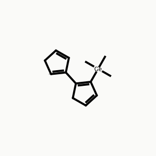 [CH3][Ge]([CH3])([CH3])[C]1=C(C2=[C]CC=C2)CC=C1